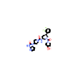 O=C(N[C@@H]1CC[C@@H](c2cccc(F)c2F)CN(C(=O)N2CCC(O)CC2)C1)N1CCC(n2c(=O)[nH]c3ncccc32)CC1